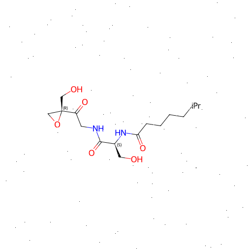 CC(C)CCCCC(=O)N[C@@H](CO)C(=O)NCC(=O)[C@@]1(CO)CO1